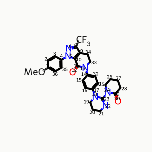 COc1ccc(-n2nc(C(F)(F)F)c3c2C(=O)N(c2ccc(N4CCCN=C4N4CCCCC4=O)cc2)CC3)cc1